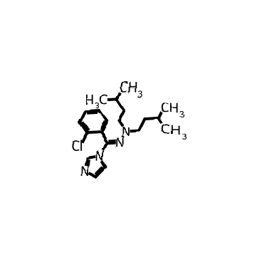 CC(C)CCN(CCC(C)C)/N=C(\c1ccccc1Cl)n1ccnc1